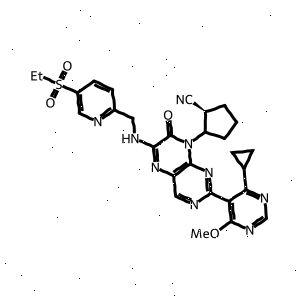 CCS(=O)(=O)c1ccc(CNc2nc3cnc(-c4c(OC)ncnc4C4CC4)nc3n(C3CCC[C@@H]3C#N)c2=O)nc1